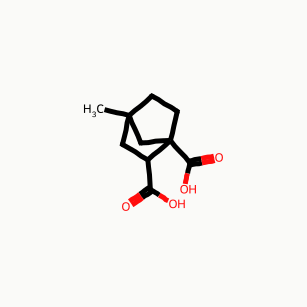 CC12CCC(C(=O)O)(C1)C(C(=O)O)C2